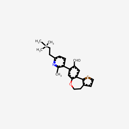 Cc1nc(CC[Si](C)(C)C)ccc1-c1cc2c(cc1C=O)-c1sccc1CCO2